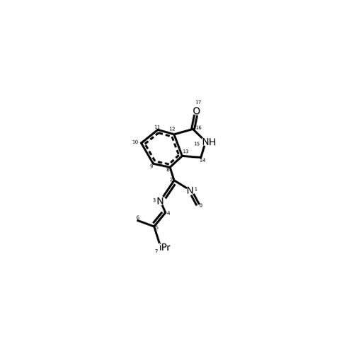 C=N/C(=N\C=C(/C)C(C)C)c1cccc2c1CNC2=O